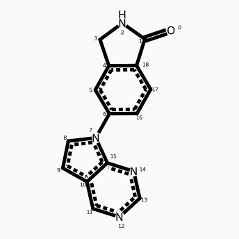 O=C1NCc2cc(-n3ccc4cncnc43)ccc21